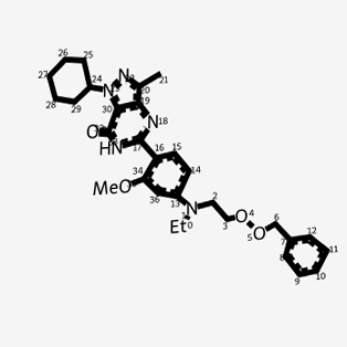 CCN(CCOOCc1ccccc1)c1ccc(-c2nc3c(C)nn(C4CCCCC4)c3c(=O)[nH]2)c(OC)c1